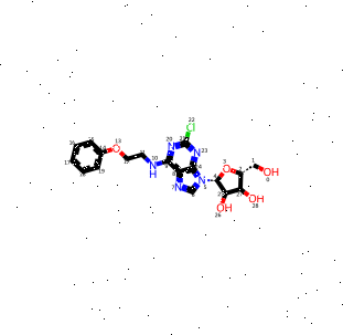 OC[C@H]1O[C@@H](n2cnc3c(NCCOc4ccccc4)nc(Cl)nc32)C(O)C1O